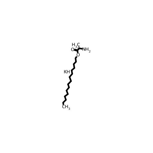 CCCCCCCCCCCCCCCCOC(=O)[C@H](C)N.[KH]